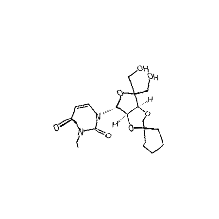 Cn1c(=O)ccn([C@@H]2OC(CO)(CO)[C@H]3OC4(CCCC4)O[C@@H]23)c1=O